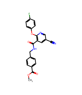 COC(=O)c1ccc(CNC(=O)c2cc(C#N)cnc2Oc2ccc(F)cc2)cc1